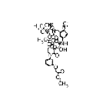 [C-]#[N+]c1ccc(NC(=O)[C@H](O)[C@H]2OCCN(c3cccc(OCC(=O)OCC)c3)C2=O)cc1CN(C(=O)OC(C)(C)C)C(=O)OC(C)(C)C